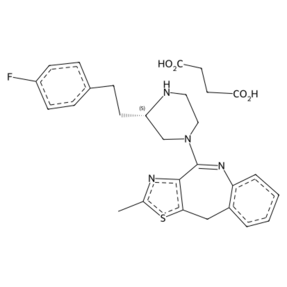 Cc1nc2c(s1)Cc1ccccc1N=C2N1CCN[C@@H](CCc2ccc(F)cc2)C1.O=C(O)CCC(=O)O